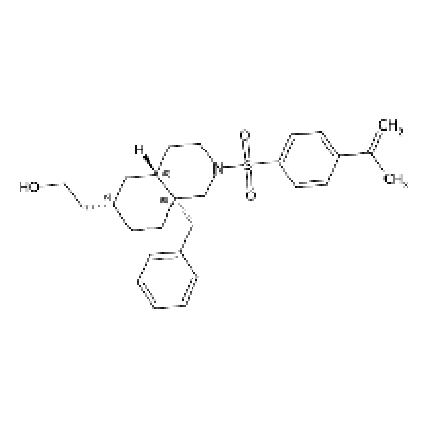 C=C(C)c1ccc(S(=O)(=O)N2CC[C@H]3C[C@@H](CCO)CC[C@]3(Cc3ccccc3)C2)cc1